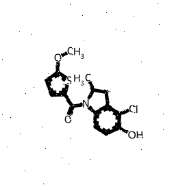 COc1ccc(C(=O)N2c3ccc(O)c(Cl)c3[CH]C2C)s1